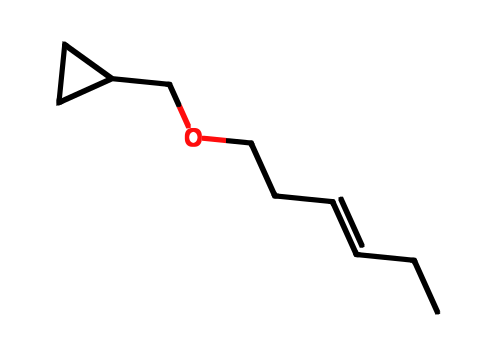 CCC=CCCOCC1CC1